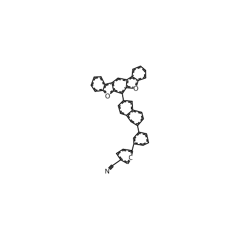 N#Cc1ccc(-c2cccc(-c3ccc4cc(-c5c6oc7ccccc7c6cc6c5oc5ccccc56)ccc4c3)c2)cc1